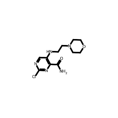 NC(=O)c1nc(Cl)ncc1NCCN1CCOCC1